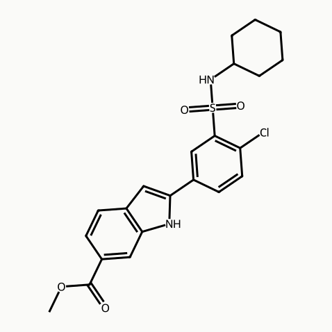 COC(=O)c1ccc2cc(-c3ccc(Cl)c(S(=O)(=O)NC4CCCCC4)c3)[nH]c2c1